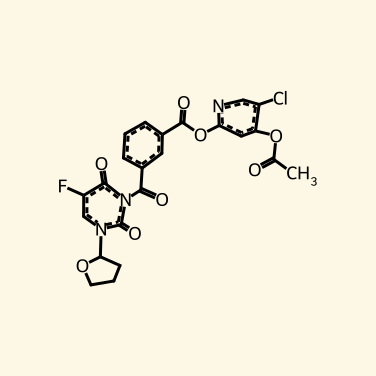 CC(=O)Oc1cc(OC(=O)c2cccc(C(=O)n3c(=O)c(F)cn(C4CCCO4)c3=O)c2)ncc1Cl